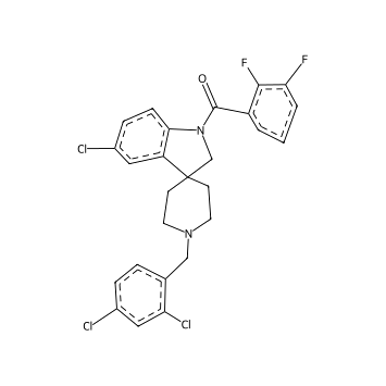 O=C(c1cccc(F)c1F)N1CC2(CCN(Cc3ccc(Cl)cc3Cl)CC2)c2cc(Cl)ccc21